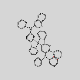 C1=C=C2C(=CC=1)C1(c3cc(N(c4ccccc4)c4ccccc4)c(-c4ccccc4)cc32)c2ccccc2-c2ccc(N(c3ccccc3)c3ccc4ccccc4c3)cc21